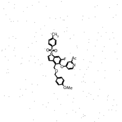 COc1ccc(COCc2c(Oc3ccnc(C(C)=O)c3)c(F)cc3c2ccn3S(=O)(=O)c2ccc(C)cc2)cc1